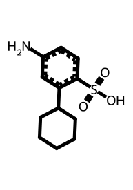 Nc1ccc(S(=O)(=O)O)c(C2CCCCC2)c1